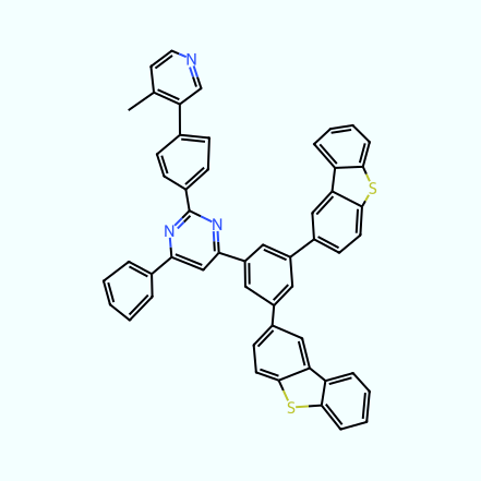 Cc1ccncc1-c1ccc(-c2nc(-c3ccccc3)cc(-c3cc(-c4ccc5sc6ccccc6c5c4)cc(-c4ccc5sc6ccccc6c5c4)c3)n2)cc1